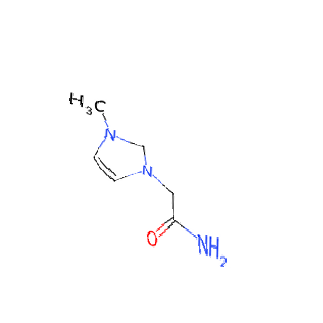 CN1C=CN(CC(N)=O)C1